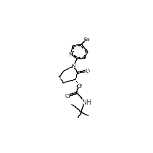 CC(C)(C)NC(=O)O[C@@H]1CCCN(c2ccc(Br)cn2)C1=O